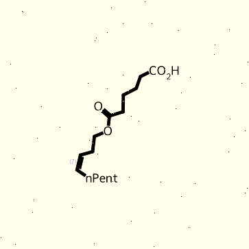 CCCCC/C=C\CCOC(=O)CCCCC(=O)O